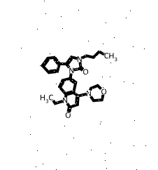 CCCCn1cc(-c2ccccc2)n(-c2ccc3c(c2)c(N2CCOCC2)cc(=O)n3CC)c1=O